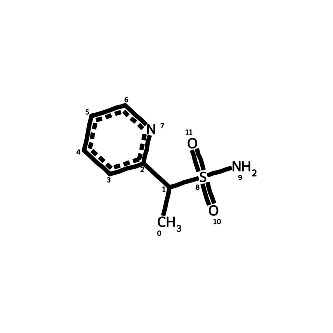 CC(c1ccccn1)S(N)(=O)=O